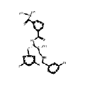 CCCN(CCC)C(=S)c1cccc(C(=O)N[C@@H](Cc2cc(F)cc(F)c2)[C@H](O)CNCc2cccc(CC)c2)c1